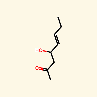 CCC=CC(O)CC(C)=O